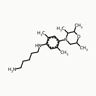 Cc1cc(N2CC(C)OC(C)C2C)c(C)cc1NCCCCCN